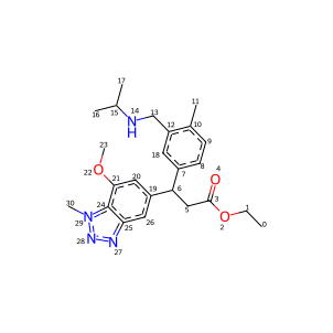 CCOC(=O)CC(c1ccc(C)c(CNC(C)C)c1)c1cc(OC)c2c(c1)nnn2C